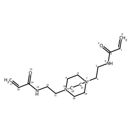 C=CC(=O)NCC[N+]12CC[N+](CCNC(=O)C=C)(CC1)CC2